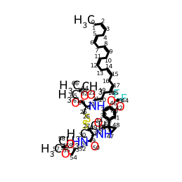 CC/C=C\C/C=C\C/C=C\C/C=C\C/C=C\C/C=C\CCC(=O)N[C@@H](CSSC(C)(C)[C@H](NC(=O)C1(c2ccc3c(c2)OC(F)(F)O3)CC1)C(=O)NC[C@@H]1COC(C)(C)O1)C(=O)OC(C)(C)C